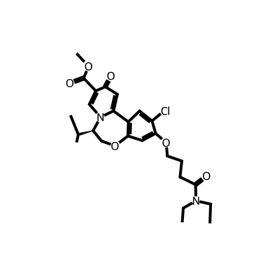 CCN(CC)C(=O)CCCOc1cc2c(cc1Cl)-c1cc(=O)c(C(=O)OC)cn1[C@H](C(C)C)CO2